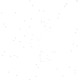 CN1CCc2cccc(-c3ccc4c(-c5cccc6c5N(C)CC6)cc5cccc6ccc3c4c65)c21